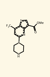 COC(=O)c1csc2c(C(F)(F)F)cc(N3CCNCC3)nc12